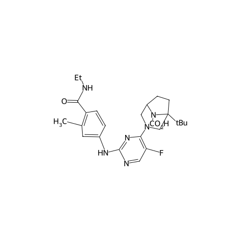 CCNC(=O)c1ccc(Nc2ncc(F)c(N3CC4CCC(C(C)(C)C)(C3)N4C(=O)O)n2)cc1C